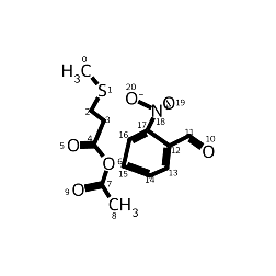 CSCCC(=O)OC(C)=O.O=Cc1ccccc1[N+](=O)[O-]